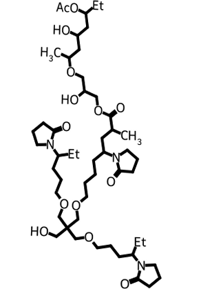 CCC(CC(O)CC(C)OCC(O)COC(=O)C(C)CC(CCCCOCC(CO)(COCCCC(CC)N1CCCC1=O)COCCCC(CC)N1CCCC1=O)N1CCCC1=O)OC(C)=O